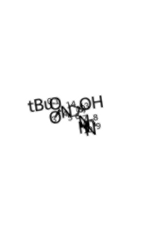 CC(C)(C)OC(=O)N1CC(n2ccnn2)[C@@H](O)C1